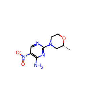 C[C@@H]1CN(c2ncc([N+](=O)[O-])c(N)n2)CCO1